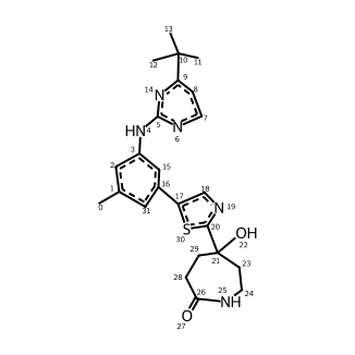 Cc1cc(Nc2nccc(C(C)(C)C)n2)cc(-c2cnc(C3(O)CCNC(=O)CC3)s2)c1